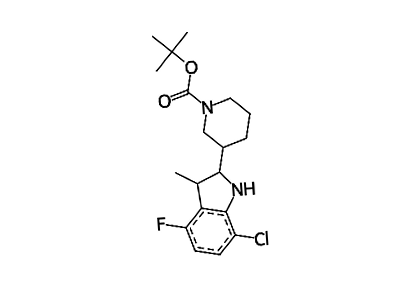 CC1c2c(F)ccc(Cl)c2NC1C1CCCN(C(=O)OC(C)(C)C)C1